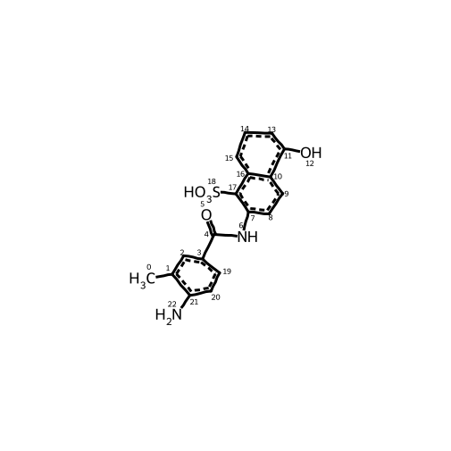 Cc1cc(C(=O)Nc2ccc3c(O)cccc3c2S(=O)(=O)O)ccc1N